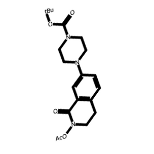 CC(=O)ON1CCc2ccc(N3CCN(C(=O)OC(C)(C)C)CC3)cc2C1=O